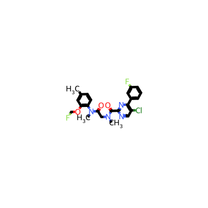 Cc1ccc(N(C)C(=O)CN(C)C(=O)c2ncc(Cl)c(-c3cccc(F)c3)n2)c(OCF)c1